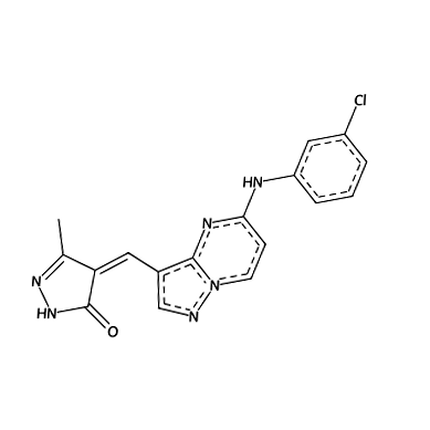 CC1=NNC(=O)C1=Cc1cnn2ccc(Nc3cccc(Cl)c3)nc12